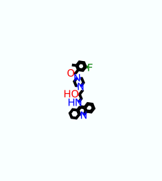 Cc1ccc(F)cc1C(=O)N1CCN(CC(O)CNc2c3c(nc4ccccc24)CCCC3)CC1